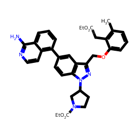 CCOC(=O)Cc1c(C)cccc1OCc1nn(C2CCN(C(=O)OCC)C2)c2ccc(-c3cccc4c(N)nccc34)cc12